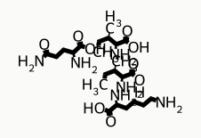 CC[C@H](C)[C@H](N)C(=O)O.CC[C@H](C)[C@H](N)C(=O)O.NC(=O)CC[C@H](N)C(=O)O.NCCCC[C@H](N)C(=O)O